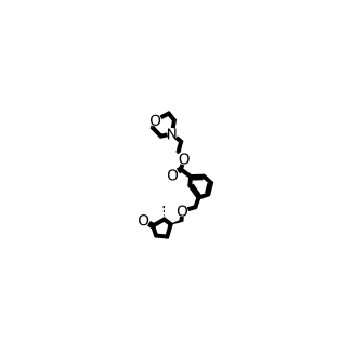 C[C@H]1C(=O)CC[C@@H]1COCc1cccc(C(=O)OCCN2CCOCC2)c1